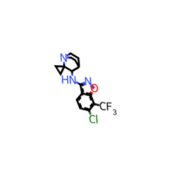 FC(F)(F)c1c(Cl)ccc2c(NC3C4CCN(CC4)C34CC4)noc12